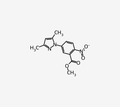 COC(=O)c1cc(-n2nc(C)cc2C)ccc1[N+](=O)[O-]